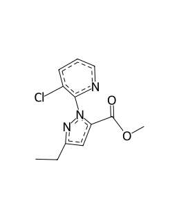 CCc1cc(C(=O)OC)n(-c2ncccc2Cl)n1